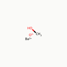 CO.[Ba+2].[O-2]